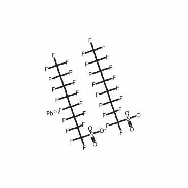 O=S(=O)([O-])C(F)(F)C(F)(F)C(F)(F)C(F)(F)C(F)(F)C(F)(F)C(F)(F)C(F)(F)F.O=S(=O)([O-])C(F)(F)C(F)(F)C(F)(F)C(F)(F)C(F)(F)C(F)(F)C(F)(F)C(F)(F)F.[Pb+2]